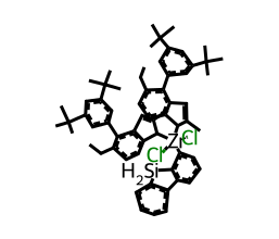 CCc1ccc2c(c1-c1cc(C(C)(C)C)cc(C(C)(C)C)c1)C=C(C)[CH]2[Zr]([Cl])([Cl])([c]1cccc2c1[SiH2]c1ccccc1-2)[CH]1C(C)=Cc2c1ccc(CC)c2-c1cc(C(C)(C)C)cc(C(C)(C)C)c1